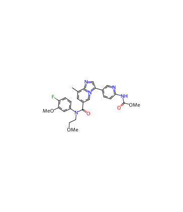 COCCN(C(=O)c1cc(C)c2ncc(-c3ccc(NC(=O)OC)nc3)n2c1)c1ccc(F)c(OC)c1